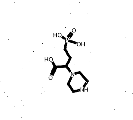 O=C(O)C(CCP(=O)(O)O)N1CCNCC1